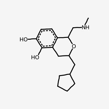 CNCC1OC(CC2CCCC2)Cc2c1ccc(O)c2O